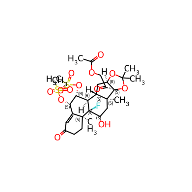 CC(=O)OCC(=O)[C@@]12OC(C)(C)O[C@@H]1C[C@H]1[C@@H]3[C@@H](OS(C)(=O)=O)[C@@H](OS(C)(=O)=O)C4=CC(=O)CC[C@]4(C)[C@@]3(F)[C@@H](O)C[C@@]12C